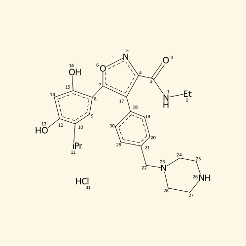 CCNC(=O)c1noc(-c2cc(C(C)C)c(O)cc2O)c1-c1ccc(CN2CCNCC2)cc1.Cl